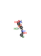 CN(C)C(=O)c1cc(S(=O)(=O)c2ccc(CCNC[C@@H](O)c3cccc(Cl)c3)cc2)ccc1O.Cl